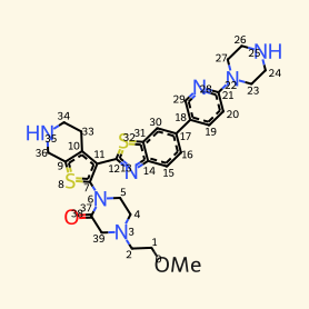 COCCN1CCN(c2sc3c(c2-c2nc4ccc(-c5ccc(N6CCNCC6)nc5)cc4s2)CCNC3)C(=O)C1